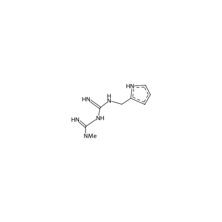 CNC(=N)NC(=N)NCc1ccc[nH]1